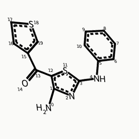 Nc1nc(Nc2ccccc2)sc1C(=O)c1ccsc1